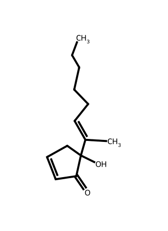 CCCCCC=C(C)C1(O)CC=CC1=O